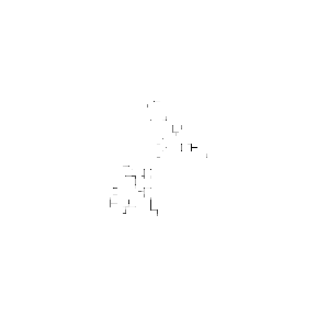 CCC(C)(C)C(=O)OCCOC(C)OC1CCCCC1